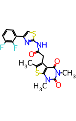 Cc1sc2c(c1CC(=O)Nc1nc(-c3cccc(F)c3F)cs1)c(=O)n(C)c(=O)n2C